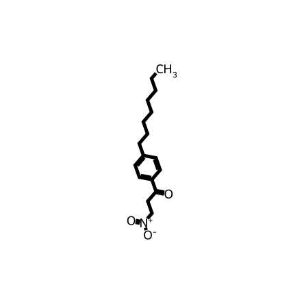 CCCCCCCCc1ccc(C(=O)CC[N+](=O)[O-])cc1